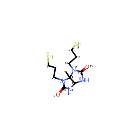 CC12C(NC(=O)N1CCCS)NC(=O)N2CCCS